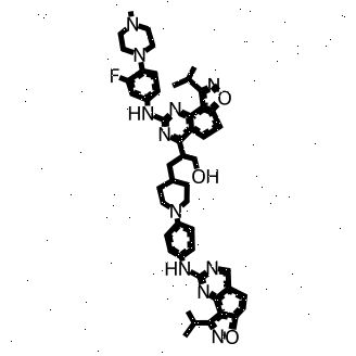 CC(C)c1noc2ccc3cnc(Nc4ccc(N5CCC(CC(CO)c6nc(Nc7ccc(N8CCN(C)CC8)c(F)c7)nc7c6ccc6onc(C(C)C)c67)CC5)cc4)nc3c12